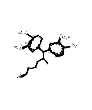 CC(C)CCCCC(C)C(c1ccc(C(=O)O)c(C(=O)O)c1)c1ccc(C(=O)O)c(C(=O)O)c1